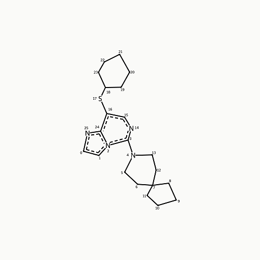 c1cn2c(N3CCC4(CCCC4)CC3)ncc(SC3CCCCC3)c2n1